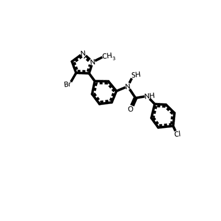 Cn1ncc(Br)c1-c1cccc(N(S)C(=O)Nc2ccc(Cl)cc2)c1